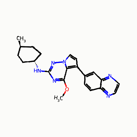 COc1nc(N[C@H]2CC[C@H](C)CC2)nn2ccc(-c3ccc4nccnc4c3)c12